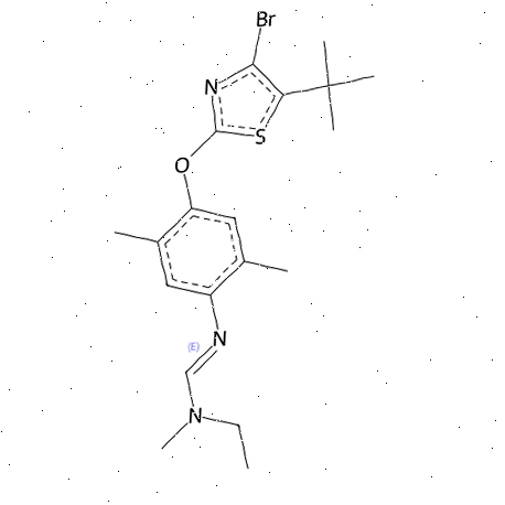 CCN(C)/C=N/c1cc(C)c(Oc2nc(Br)c(C(C)(C)C)s2)cc1C